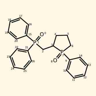 O=P(CC1CCCP1(=O)c1ccccc1)(c1ccccc1)c1ccccc1